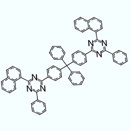 c1ccc(-c2nc(-c3ccc(C(c4ccccc4)(c4ccccc4)c4ccc(-c5nc(-c6ccccc6)nc(-c6cccc7ccccc67)n5)cc4)cc3)nc(-c3cccc4ccccc34)n2)cc1